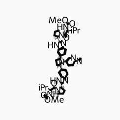 COC(=O)N[C@H](C(=O)N1CCC[C@H]1C1=NC2CC=C([C@H]3CC[C@H](c4ccc5nc([C@@H]6CCCN6C(=O)[C@@H](NC(=O)OC)C(C)C)[nH]c5c4)N3c3ccc(N(C)C)nc3)C=C2N1)C(C)C